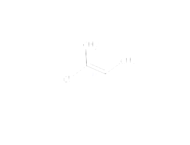 [CH2]/C(Cl)=C\C